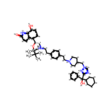 CC(C)(C)[Si](C)(C)O[C@@H](CNCCc1ccc(CCN2CCC(Cn3cnc(C(O)(c4ccccc4)C4CCCCC4)n3)CC2)cc1)c1ccc(O)c2[nH]c(=O)ccc12